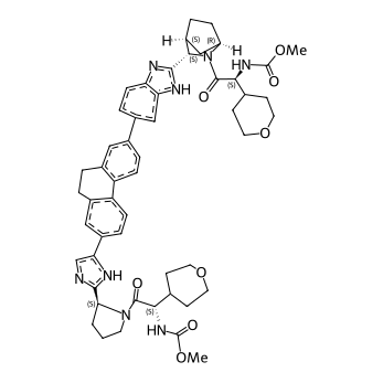 COC(=O)N[C@H](C(=O)N1CCC[C@H]1c1ncc(-c2ccc3c(c2)CCc2cc(-c4ccc5nc([C@@H]6[C@H]7CC[C@H](C7)N6C(=O)[C@@H](NC(=O)OC)C6CCOCC6)[nH]c5c4)ccc2-3)[nH]1)C1CCOCC1